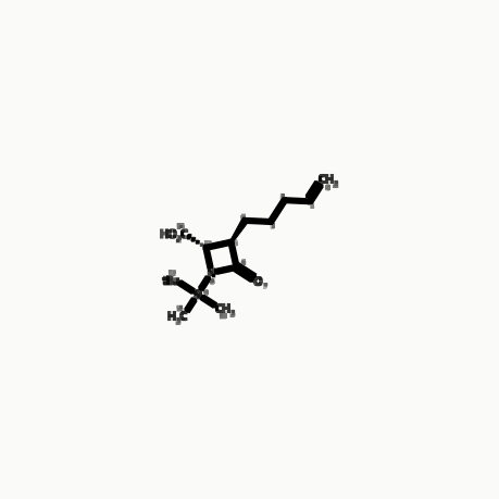 C=CCCC[C@H]1C(=O)N([Si](C)(C)C(C)(C)C)[C@@H]1C(=O)O